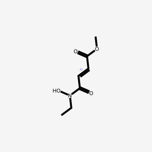 CCN(O)C(=O)/C=C/C(=O)OC